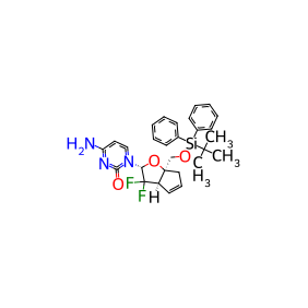 CC(C)(C)[Si](OC[C@]12CC=C[C@H]1C(F)(F)[C@H](n1ccc(N)nc1=O)O2)(c1ccccc1)c1ccccc1